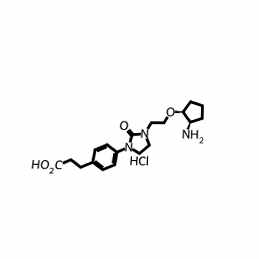 Cl.N[C@@H]1CCC[C@@H]1OCCN1CCN(c2ccc(CCC(=O)O)cc2)C1=O